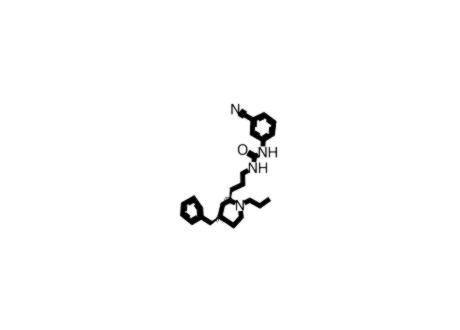 CCCN1CC[C@@H](Cc2ccccc2)C[C@H]1CCCNC(=O)Nc1cccc(C#N)c1